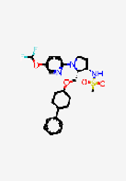 CS(=O)(=O)N[C@H]1CCN(c2ccc(OC(F)F)cn2)[C@H]1COC1CCC(c2ccccc2)CC1